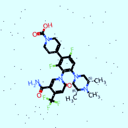 C[C@@H]1CN(c2cc(F)c(C3=CCN(C(=O)O)CC3)c(F)c2-n2cc(C(N)=O)c(C(F)(F)F)cc2=O)C[C@H](C)N1C